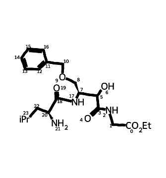 CCOC(=O)CNC(=O)C(O)[C@H](COCc1ccccc1)NC(=O)[C@@H](N)CC(C)C